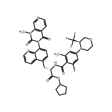 Cc1cc(N2CCOC[C@@H]2C(F)(F)F)cc(F)c1C(=O)N[C@@H](Cc1ccc(-n2c(=O)c3ccncc3n(C)c2=O)c2ncccc12)C(=O)OC1CCCC1